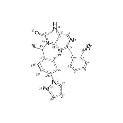 CC(C)c1ccccc1-c1ncc2[nH]c(=O)n(C(C)c3ccc(-n4cccn4)cc3)c2n1